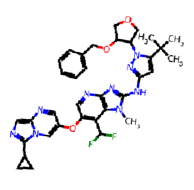 Cn1c(Nc2cc(C(C)(C)C)n(C3COCC3OCc3ccccc3)n2)nc2ncc(Oc3cnc4cnc(C5CC5)n4c3)c(C(F)F)c21